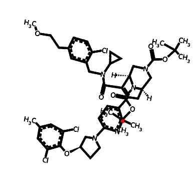 COCCc1ccc(Cl)c(CN(C(=O)C2=C(c3ccc(N4CC[C@@H](Oc5c(Cl)cc(C)cc5Cl)C4)nc3)C[C@@H]3CN(C(=O)OC(C)(C)C)C[C@H]2N3C(=O)OC(C)(C)C)C2CC2)c1